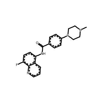 CN1CCN(c2ccc(C(=O)Nc3ccc(F)c4ncccc34)cc2)CC1